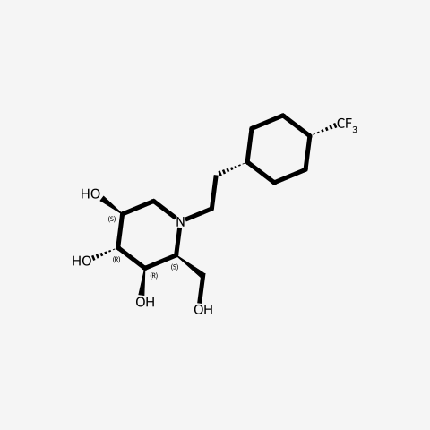 OC[C@H]1[C@@H](O)[C@H](O)[C@@H](O)CN1CC[C@H]1CC[C@@H](C(F)(F)F)CC1